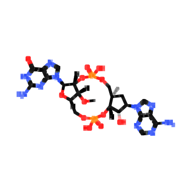 CO[C@H]1[C@H]2OP(=O)(O)OC[C@@]3(C)C[C@@H](n4cnc5c(N)ncnc54)[C@H](O)[C@@H]3OP(=O)(O)OC[C@H]1O[C@H]2n1cnc2c(=O)[nH]c(N)nc21